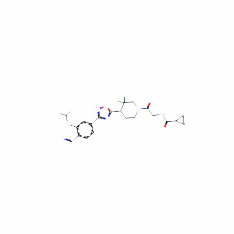 CC(C)Nc1cc(-c2noc(C3CCN(C(=O)CNC(=O)C4CC4)CC3(F)F)n2)ccc1C=N